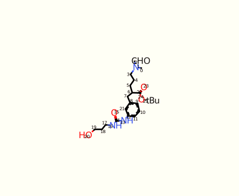 CN(C=O)CCCC(Cc1cccc(NC(=O)NCCCO)c1)C(=O)OC(C)(C)C